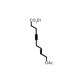 CCOC(=O)CCC#CC/C=C/COC(C)=O